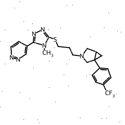 Cn1c(SCCCN2CC3CC3(c3ccc(C(F)(F)F)cc3)C2)nnc1-c1ccnnc1